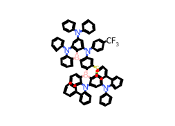 FC(F)(F)c1ccc(N2c3cc4c(cc3B3c5ccccc5N(c5ccccc5)c5cc(N(c6ccccc6)c6ccccc6)cc2c53)B2c3ccccc3N(c3ccccc3-c3ccccc3)c3cc(N(c5ccccc5)c5ccccc5-c5ccccc5)cc(c32)S4)cc1